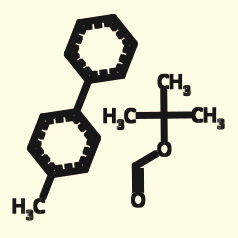 CC(C)(C)OC=O.Cc1ccc(-c2ccccc2)cc1